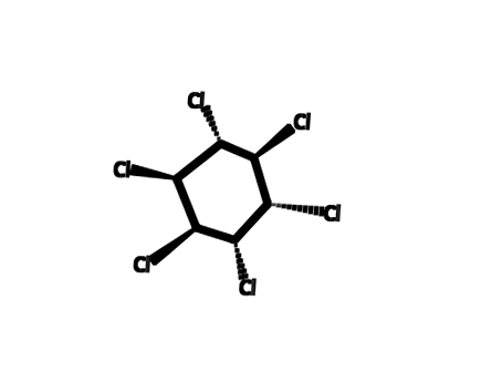 Cl[C@H]1[C@H](Cl)[C@@H](Cl)[C@H](Cl)[C@H](Cl)[C@H]1Cl